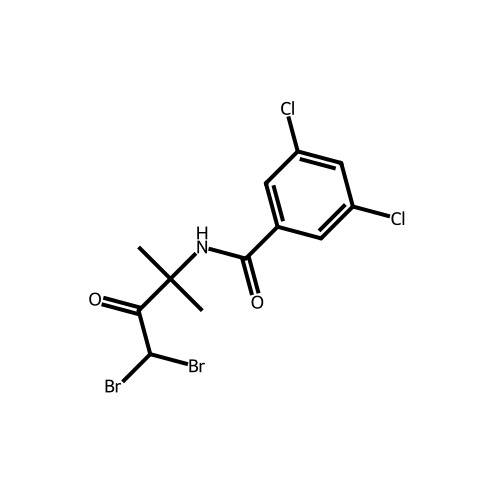 CC(C)(NC(=O)c1cc(Cl)cc(Cl)c1)C(=O)C(Br)Br